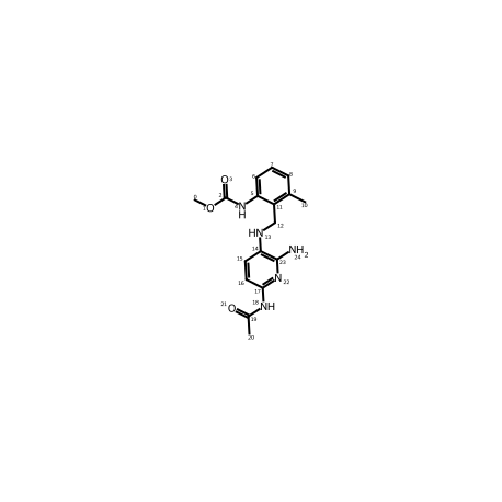 COC(=O)Nc1cccc(C)c1CNc1ccc(NC(C)=O)nc1N